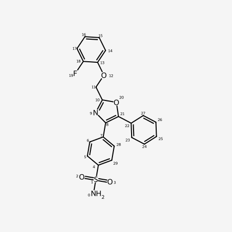 NS(=O)(=O)c1ccc(-c2nc(COc3ccccc3F)oc2-c2ccccc2)cc1